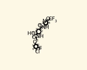 O=C(COc1ccc(Cl)c(F)c1)NC1(CO)CCC(C(=O)Nc2ccc(OC(F)(F)F)nc2)CC1